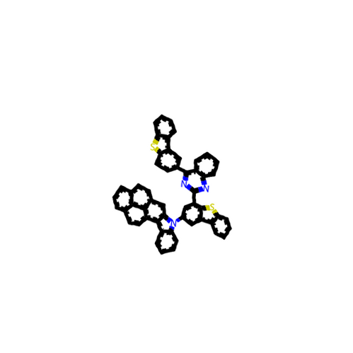 c1cc2ccc3cc4c(c5ccc(c1)c2c35)c1ccccc1n4-c1cc(-c2nc(-c3ccc4sc5ccccc5c4c3)c3ccccc3n2)c2sc3ccccc3c2c1